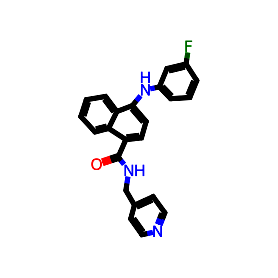 O=C(NCc1ccncc1)c1ccc(Nc2cccc(F)c2)c2ccccc12